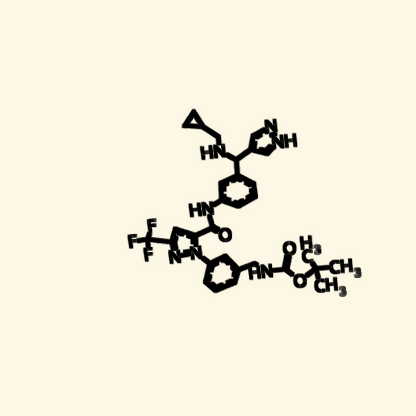 CC(C)(C)OC(=O)NCc1cccc(-n2nc(C(F)(F)F)cc2C(=O)Nc2cccc(C(NCC3CC3)c3cn[nH]c3)c2)c1